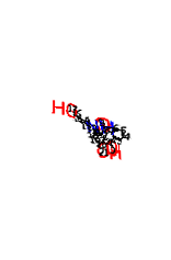 O=C1c2ccccc2C(=O)c2c(NCCCCO)ccc(O)c21